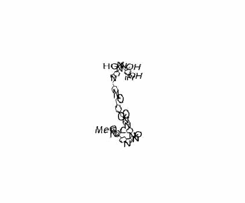 COc1ccc(-c2ccc3ncc4c(c3c2)n(-c2ccc(N3CCN(C(=O)Oc5ccc(CC(=O)N6CCC(CCn7ccc8cc(-n9c(O)nnc9-c9cc(C(C)C)c(O)cc9O)ccc87)CC6)cc5)CC3)c(C(F)(F)F)c2)c(=O)n4C)cn1